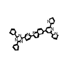 c1ccc(-c2nc(-c3ccccc3)nc(-c3ccc(-c4ccc5cc(-c6cc(-c7ccccn7)nc(-c7ccccn7)c6)ccc5n4)nc3)n2)cc1